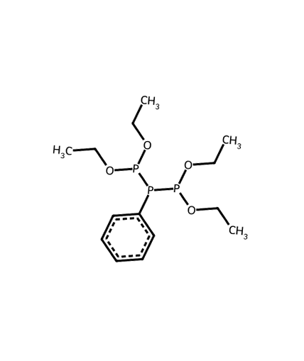 CCOP(OCC)P(c1ccccc1)P(OCC)OCC